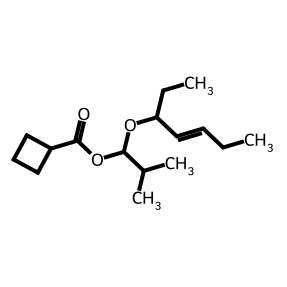 CCC=CC(CC)OC(OC(=O)C1CCC1)C(C)C